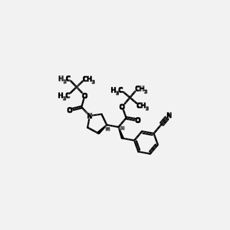 CC(C)(C)OC(=O)[C@@H](Cc1cccc(C#N)c1)[C@H]1CCN(C(=O)OC(C)(C)C)C1